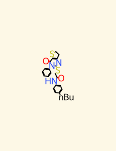 CCCCc1ccc(NC(=O)CSc2nc3c(c(=O)n2-c2ccccc2)SCC3)cc1